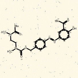 CN(CCN(C)C(=O)C(C)(C)C)C(=O)OCc1ccc(/N=N/c2ccc(O)c(C(=O)C(C)(C)C)c2)cc1